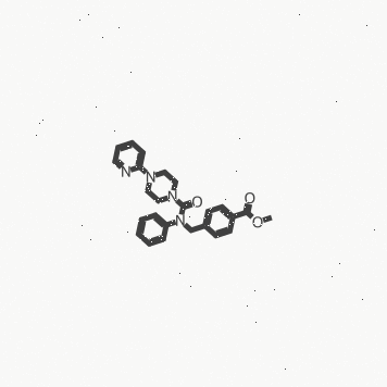 COC(=O)c1ccc(CN(C(=O)N2CCN(c3ccccn3)CC2)c2ccccc2)cc1